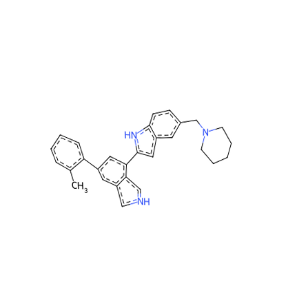 Cc1ccccc1-c1cc(-c2cc3cc(CN4CCCCC4)ccc3[nH]2)c2c[nH]cc2c1